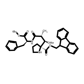 CO[C@H]([C@@H](C)C(=O)N[C@@H](Cc1ccccc1)C(=O)OC(C)(C)C)[C@]1(C(=O)OCC2c3ccccc3-c3ccccc32)CCCN1